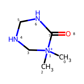 C[N+]1(C)CNCNC1=O